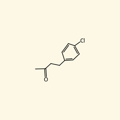 CC(=O)CCc1ccc(Cl)cc1